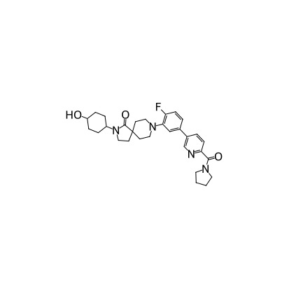 O=C(c1ccc(-c2ccc(F)c(N3CCC4(CC3)CCN(C3CCC(O)CC3)C4=O)c2)cn1)N1CCCC1